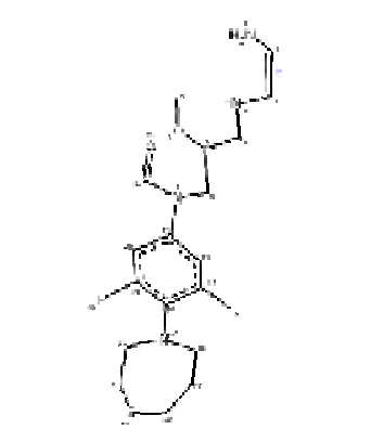 COC(CN/C=C\N)CN(C=O)c1cc(F)c(N2CCCSCC2)c(F)c1